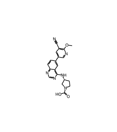 COc1ncc(-c2ccc3ncnc(N[C@H]4CCN(C(=O)O)C4)c3c2)cc1C#N